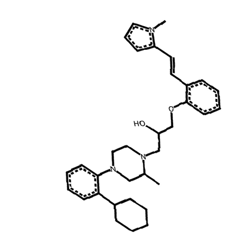 CC1CN(c2ccccc2C2CCCCC2)CCN1CC(O)COc1ccccc1C=Cc1cccn1C